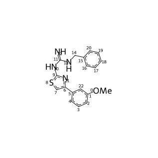 COc1cccc(-c2csc(NC(=N)NCc3ccccc3)n2)c1